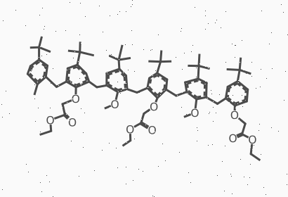 CCOC(=O)COc1ccc(C(C)(C)C)cc1Cc1cc(C(C)(C)C)cc(Cc2cc(C(C)(C)C)cc(Cc3cc(C(C)(C)C)cc(Cc4cc(C(C)(C)C)cc(Cc5cc(C(C)(C)C)ccc5C)c4OCC(=O)OCC)c3OC)c2OCC(=O)OCC)c1OC